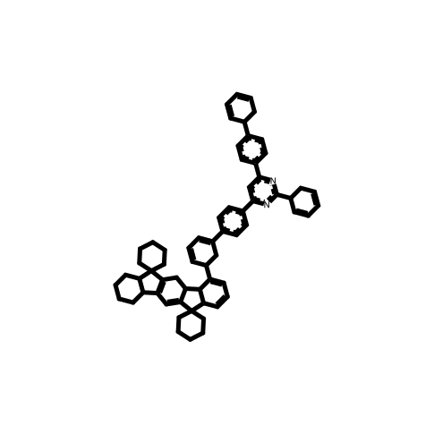 C1=CCC(c2ccc(-c3cc(-c4ccc(C5=CC=CC(C6=CC=CC7C6C6CC8=C(C=C6C76CCCCC6)C6CCCCC6C86CCCCC6)C5)cc4)nc(C4C=CC=CC4)n3)cc2)C=C1